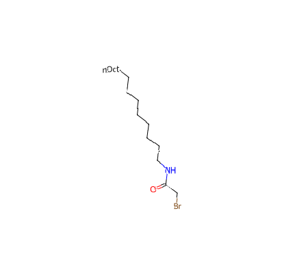 CCCCCCCCCCCCCCCCNC(=O)CBr